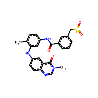 Cc1ccc(NC(=O)c2cccc(C[SH](=O)=O)c2)cc1Nc1ccc2ncn(C)c(=O)c2c1